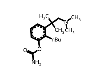 CCCCc1c(OC(N)=O)cccc1C(C)(C)CN(C)C